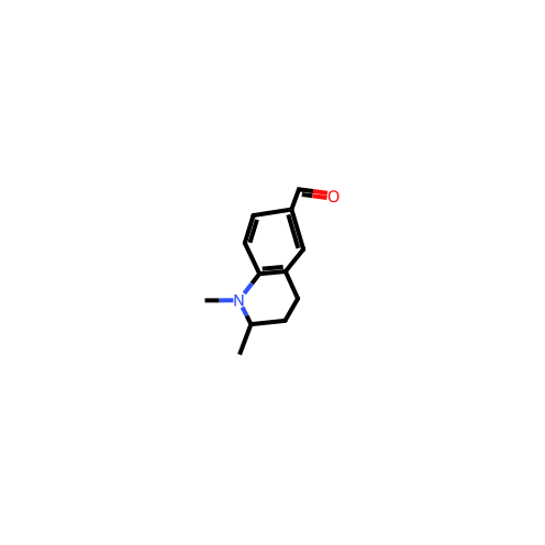 CC1CCc2cc(C=O)ccc2N1C